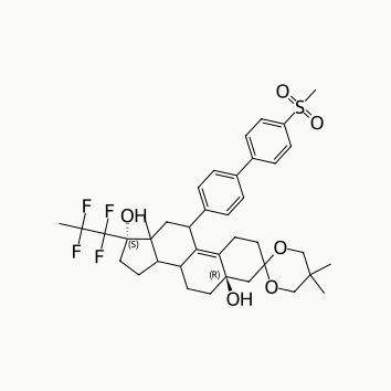 CC1(C)COC2(CCC3=C4C(c5ccc(-c6ccc(S(C)(=O)=O)cc6)cc5)CC5(C)C(CC[C@@]5(O)C(F)(F)C(C)(F)F)C4CC[C@@]3(O)C2)OC1